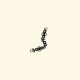 CCC(Cl)(CC)c1ccc(S(=O)(=O)c2ccc(Oc3ccc4ccc(OC(CC)(CC)c5ccc(S(=O)(=O)c6ccc(Cl)cc6)cc5)cc4c3)cc2)cc1